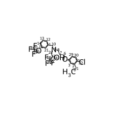 CCc1cc(OCCCN(Cc2cccc(OC(F)(F)F)c2)CC(O)C(F)(F)F)ccc1Cl